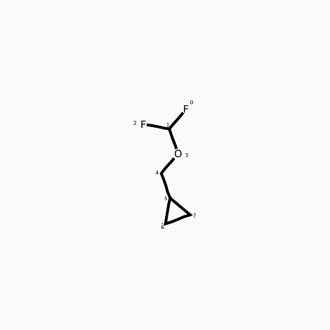 FC(F)OCC1[CH]C1